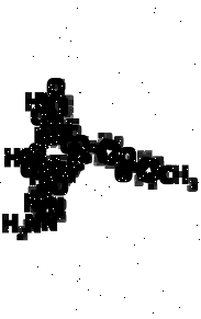 Cc1ccc(C(=O)Oc2ccc(CS[P@]3(=O)OC[C@H]4O[C@@H](n5cnc6c(N)ncnc65)[C@H](OP(=O)(O)OC[C@H]5O[C@@H](n6ccc(=O)[nH]c6=O)[C@H](F)C5O3)[C@@H]4F)cc2)cc1